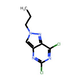 CCCn1cc2nc(Cl)nc(Cl)c2n1